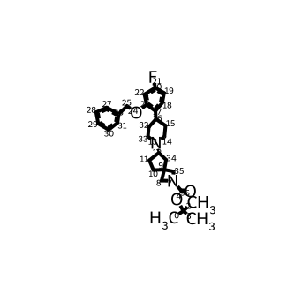 CC(C)(C)OC(=O)N1CC2(CC[C@@H](N3CCC(c4ccc(F)cc4OCc4ccccc4)CC3)C2)C1